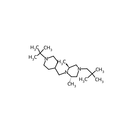 C[C@H]1CN(CC(C)(C)C)C[C@H](C)N1CC1CCN(C(C)(C)C)CC1